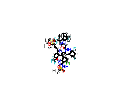 CC(C)(C#Cc1nc(C(Cc2cc(F)cc(F)c2)NC(=O)Cn2nc(C(F)(F)F)c3c2C(F)(F)[C@@H]2CC[C@H]32)c(-c2ccc(Cl)c3c(NS(C)(=O)=O)nn(CC(F)(F)F)c23)c2c1CCC2)S(C)(=O)=O